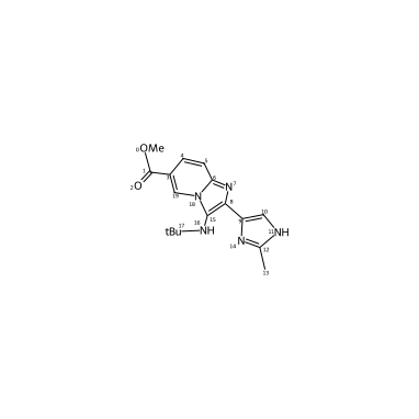 COC(=O)c1ccc2nc(-c3c[nH]c(C)n3)c(NC(C)(C)C)n2c1